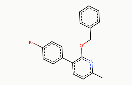 Cc1ccc(-c2ccc(Br)cc2)c(OCc2ccccc2)n1